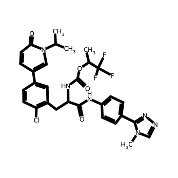 CC(C)n1cc(-c2ccc(Cl)c(CC(NC(=O)OC(C)C(F)(F)F)C(=O)Nc3ccc(-c4nncn4C)cc3)c2)ccc1=O